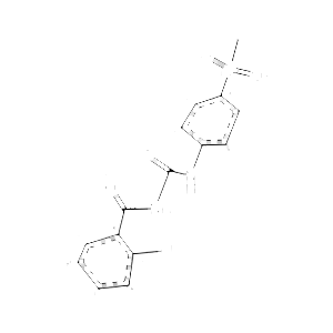 CS(=O)(=O)c1ccc(NC(=S)NC(=O)c2ccccc2Cl)cc1